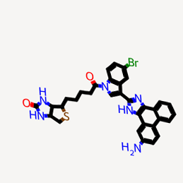 Nc1ccc2c3ccccc3c3nc(-c4cn(C(=O)CCCCC5SCC6NC(=O)NC65)c5ccc(Br)cc45)[nH]c3c2c1